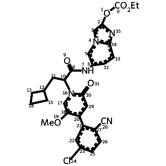 CCOC(=O)Oc1cn2cc(NC(=O)C(CC3CCC3)n3cc(OC)c(-c4cc(Cl)ccc4C#N)cc3=O)ccc2n1